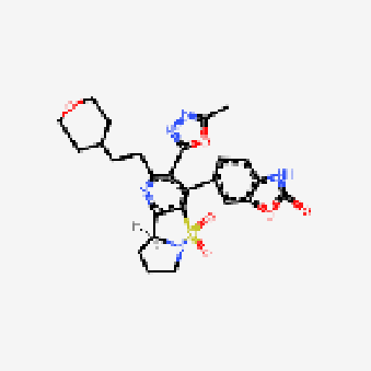 Cc1nnc(-c2c(CCC3CCOCC3)nc3c(c2-c2ccc4[nH]c(=O)oc4c2)S(=O)(=O)N2CCC[C@@H]32)o1